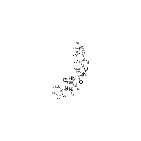 CC1=C(c2onc(C(=O)Nc3c(C)n(C)n(C4CCCCC4)c3=O)c2C)CCC(C(C)(C)C)C1